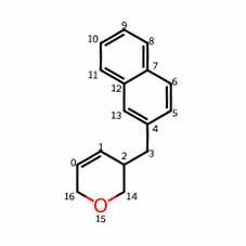 C1=CC(Cc2ccc3ccccc3c2)COC1